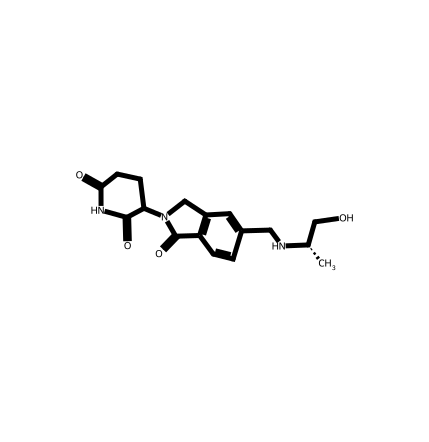 C[C@@H](CO)NCc1ccc2c(c1)CN(C1CCC(=O)NC1=O)C2=O